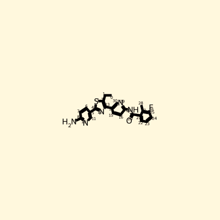 CCc1sc(-c2ccc(N)nc2)nc1-c1ccc(NC(=O)c2cccc(F)c2C)nc1